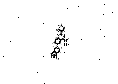 CNc1nc(-c2cccnc2)nc2ccc(-c3ccc4c(cnn4C)c3)cc12